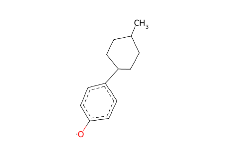 CC1CCC(c2ccc([O])cc2)CC1